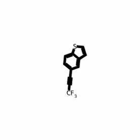 FC(F)(F)C#Cc1ccc2sccc2c1